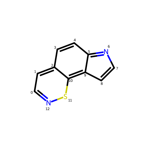 c1cc2ccc3nccc3c2sn1